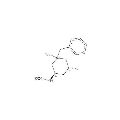 C[C@@H]1C[C@@H](NC(=O)[O-])C[N+](Cc2ccccc2)(C(C)(C)C)C1